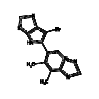 Cc1c(-c2[nH]c3scnc3c2C(C)C)cn2ncnc2c1C